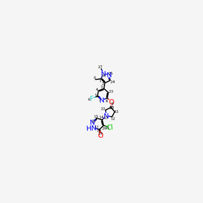 Cc1c(-c2cc(F)nc(O[C@@H]3CCN(c4cn[nH]c(=O)c4Cl)C3)c2)cnn1C